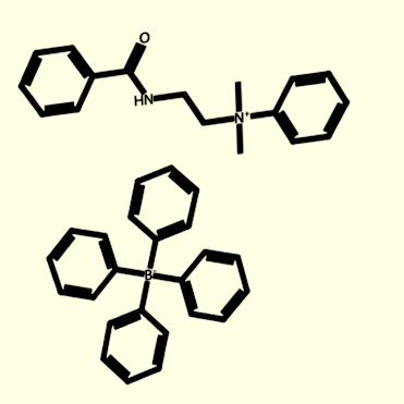 C[N+](C)(CCNC(=O)c1ccccc1)c1ccccc1.c1ccc([B-](c2ccccc2)(c2ccccc2)c2ccccc2)cc1